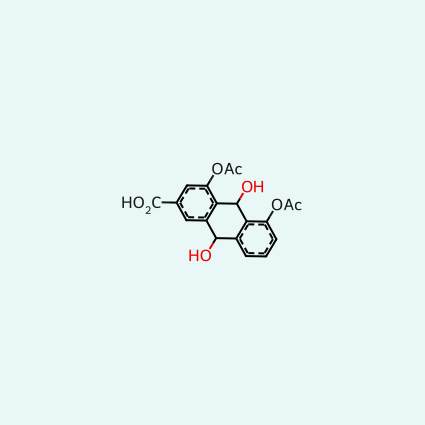 CC(=O)Oc1cccc2c1C(O)c1c(OC(C)=O)cc(C(=O)O)cc1C2O